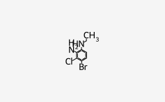 CCNc1ccc(Br)c(Cl)c1N